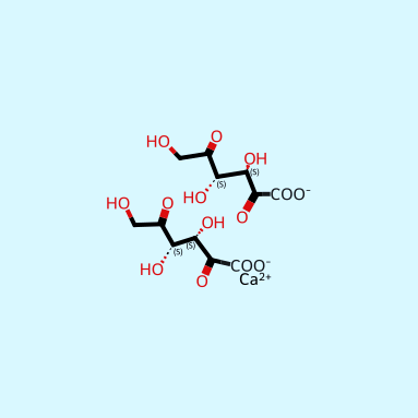 O=C([O-])C(=O)[C@@H](O)[C@H](O)C(=O)CO.O=C([O-])C(=O)[C@@H](O)[C@H](O)C(=O)CO.[Ca+2]